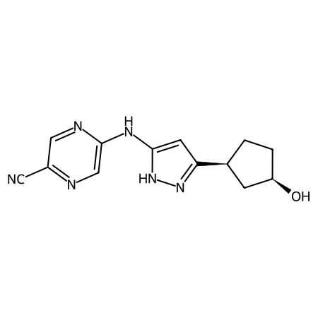 N#Cc1cnc(Nc2cc([C@H]3CC[C@@H](O)C3)n[nH]2)cn1